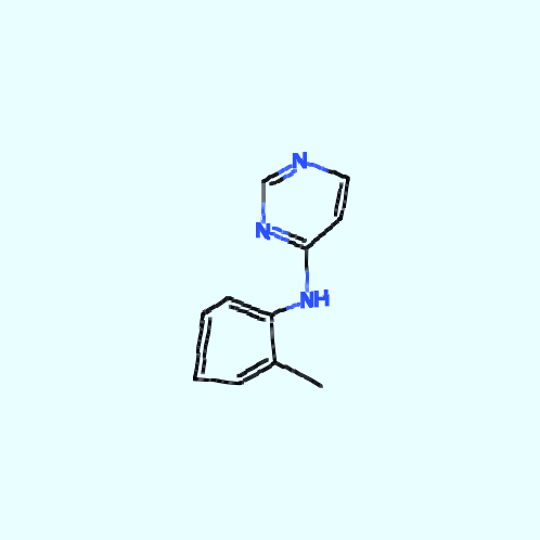 Cc1ccccc1Nc1ccncn1